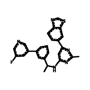 Cc1nc(NC(C)c2cccc(-c3cncc(F)c3)c2)cc(-c2ccc3ncsc3c2)n1